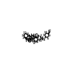 C#CCN(Cc1ccc(F)cc1)Cc1ccc(C(=O)Nc2ccccc2N)cc1